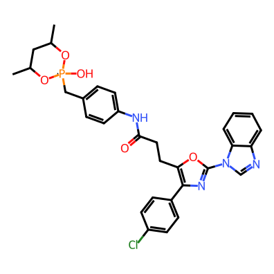 CC1CC(C)O[P](O)(Cc2ccc(NC(=O)CCc3oc(-n4cnc5ccccc54)nc3-c3ccc(Cl)cc3)cc2)O1